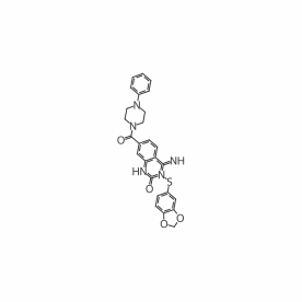 N=c1c2ccc(C(=O)N3CCN(c4ccccc4)CC3)cc2[nH]c(=O)n1Sc1ccc2c(c1)OCO2